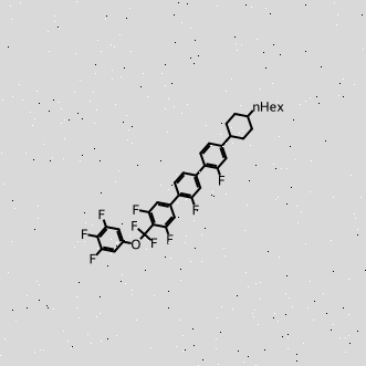 CCCCCCC1CCC(c2ccc(-c3ccc(-c4cc(F)c(C(F)(F)Oc5cc(F)c(F)c(F)c5)c(F)c4)c(F)c3)c(F)c2)CC1